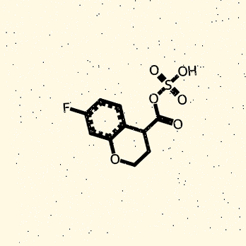 O=C(OS(=O)(=O)O)C1CCOc2cc(F)ccc21